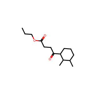 CCCOC(=O)CCC(=O)C1CCCC(C)C1C